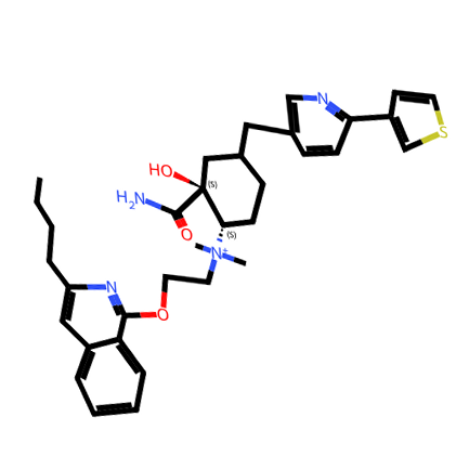 CCCCc1cc2ccccc2c(OCC[N+](C)(C)[C@H]2CCC(Cc3ccc(-c4ccsc4)nc3)C[C@@]2(O)C(N)=O)n1